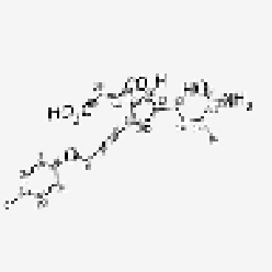 Cc1ccc(OCC#Cc2ccc(CC[C@@H](C)C(N)O)s2)cc1.O=C(O)C=CC(=O)O